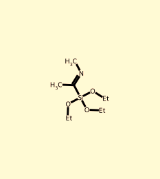 CCO[Si](OCC)(OCC)/C(C)=N/C